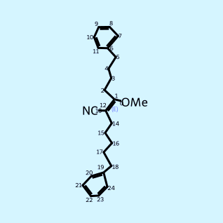 CO/C(CCCCc1ccccc1)=C(/C#N)CCCCCc1ccccc1